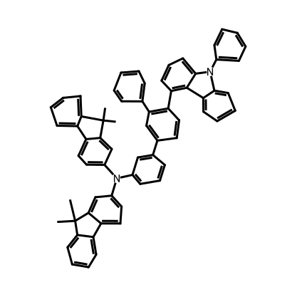 CC1(C)c2ccccc2-c2ccc(N(c3cccc(-c4ccc(-c5cccc6c5c5ccccc5n6-c5ccccc5)c(-c5ccccc5)c4)c3)c3ccc4c(c3)C(C)(C)c3ccccc3-4)cc21